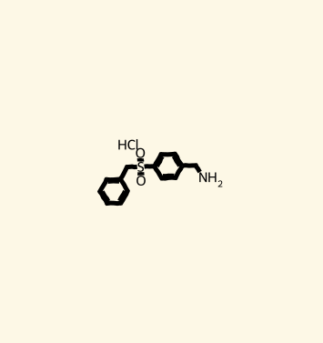 Cl.NCc1ccc(S(=O)(=O)Cc2ccccc2)cc1